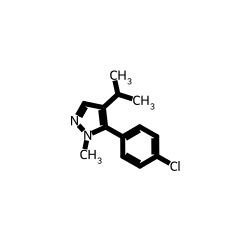 CC(C)c1cnn(C)c1-c1ccc(Cl)cc1